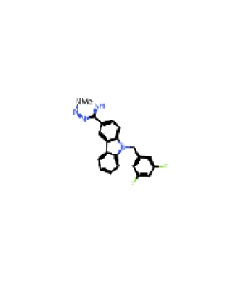 CN/N=N\C(=N)c1ccc2c(c1)c1ccccc1n2Cc1cc(F)cc(F)c1